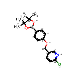 CC1(C)OB(c2ccc(OCc3ccc(Cl)nc3)cc2)OC1(C)C